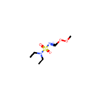 CCN(CC)S(=O)(=O)/N=C/OOC